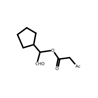 CC(=O)CC(=O)OC(C=O)C1CCCC1